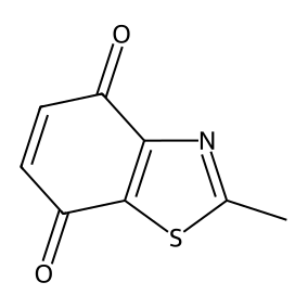 Cc1nc2c(s1)C(=O)C=CC2=O